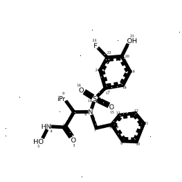 CC(C)C(C(=O)NO)N(Cc1ccccc1)S(=O)(=O)c1ccc(O)c(F)c1